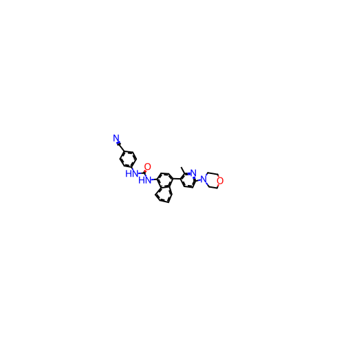 Cc1nc(N2CCOCC2)ccc1-c1ccc(NC(=O)Nc2ccc(C#N)cc2)c2ccccc12